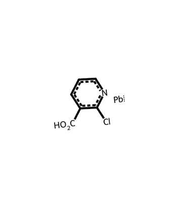 O=C(O)c1cccnc1Cl.[Pb]